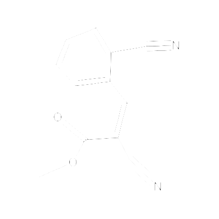 COC(=O)C(C#N)=Cc1ccccc1C#N